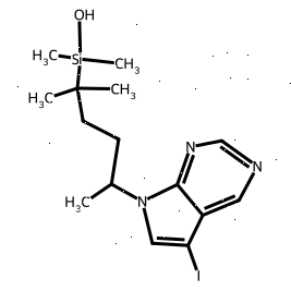 CC(CCC(C)(C)[Si](C)(C)O)n1cc(I)c2cncnc21